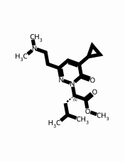 COC(=O)[C@H](CC(C)C)n1nc(CCN(C)C)cc(C2CC2)c1=O